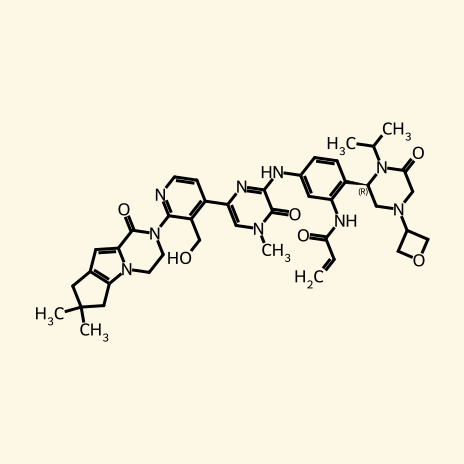 C=CC(=O)Nc1cc(Nc2nc(-c3ccnc(N4CCn5c(cc6c5CC(C)(C)C6)C4=O)c3CO)cn(C)c2=O)ccc1[C@@H]1CN(C2COC2)CC(=O)N1C(C)C